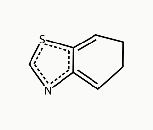 C1=c2ncsc2=CCC1